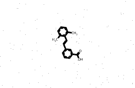 Cc1cccc(C)c1C=Cc1cccc(C(=O)O)c1